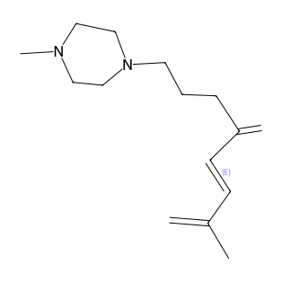 C=C(C)/C=C/C(=C)CCCN1CCN(C)CC1